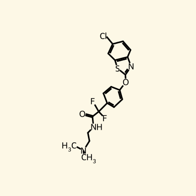 CN(C)CCNC(=O)C(F)(F)c1ccc(Oc2nc3ccc(Cl)cc3s2)cc1